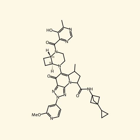 COc1cc(-n2nc3c(=O)c(N4CCN(C(=O)c5ncnc(C)c5O)[C@H]5CC[C@@H]54)c4n(c3n2)C(C(=O)NC23CC(C5CC5)(C2)C3)CC4C)ccn1